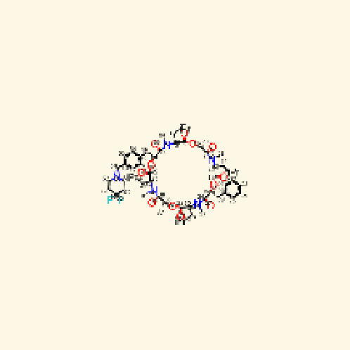 CC(C)C[C@H]1C(=O)O[C@H](C)C(=O)N(C)[C@@H](CC(C)C)C(=O)O[C@H](Cc2ccccc2)C(=O)N(C)[C@@H](CC(C)C)C(=O)O[C@H](C)C(=O)N(C)[C@@H](CC(C)C)C(=O)O[C@@H](Cc2ccc(CN3CCC(F)(F)CC3)cc2)C(=O)N1C